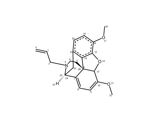 C=CCN1CC[C@]23C4=CC=C(OC)C2Oc2c(OC)ccc(c23)C[C@@H]41